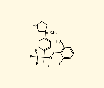 Cc1cccc(F)c1COC(C)(C1=CC=C([C@]2(C)CCNC2)CC1)C(F)(F)F